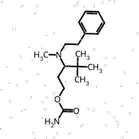 CN(CCc1ccccc1)C(CCOC(N)=O)C(C)(C)C